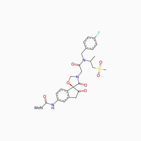 CNC(=O)Nc1ccc2c(c1)CC(=O)[C@]21OCN(CC(=O)N(Cc2ccc(F)cc2)C(C)CS(C)(=O)=O)C1=O